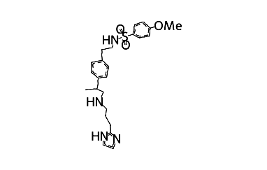 COc1ccc(S(=O)(=O)NCCc2ccc(C(C)CNCCCc3ncc[nH]3)cc2)cc1